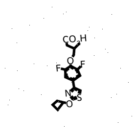 CC(COc1c(F)cc(-c2csc(OC3CCC3)n2)cc1F)CC(=O)O